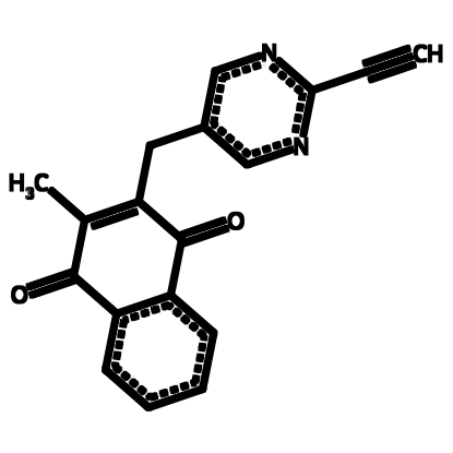 C#Cc1ncc(CC2=C(C)C(=O)c3ccccc3C2=O)cn1